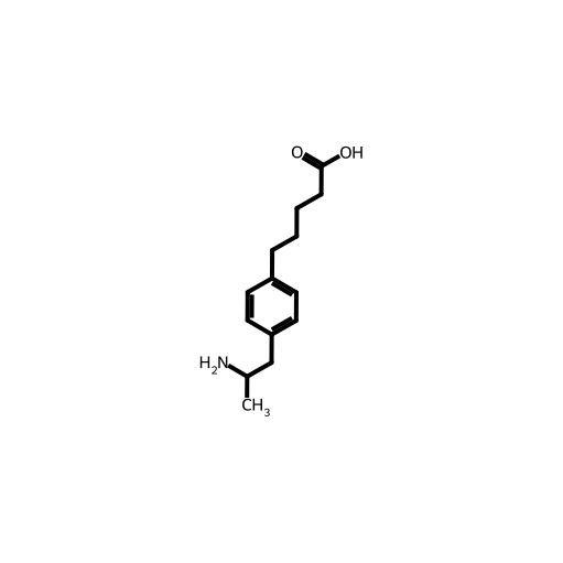 CC(N)Cc1ccc(CCCCC(=O)O)cc1